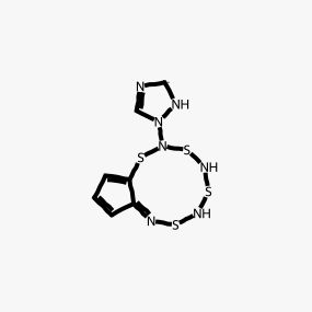 [CH]1N=CN(N2SNSNS/N=C3/C=CC=C3S2)N1